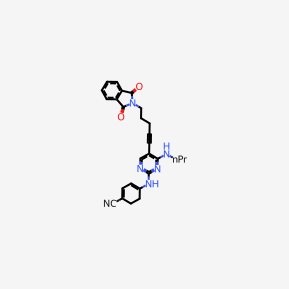 CCCNc1nc(NC2=CC=C(C#N)CC2)ncc1C#CCCCN1C(=O)c2ccccc2C1=O